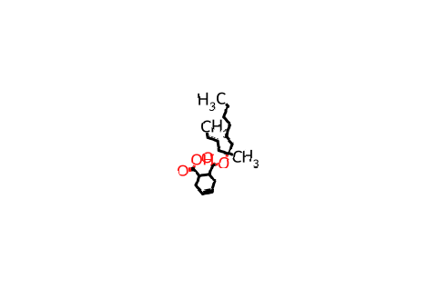 CCCCCCC(C)(CCCC)OC(=O)C1CC=CCC1C(=O)O